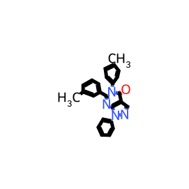 Cc1ccc(-n2c(-c3cccc(C)c3)nc3c(cnn3-c3ccccc3)c2=O)cc1